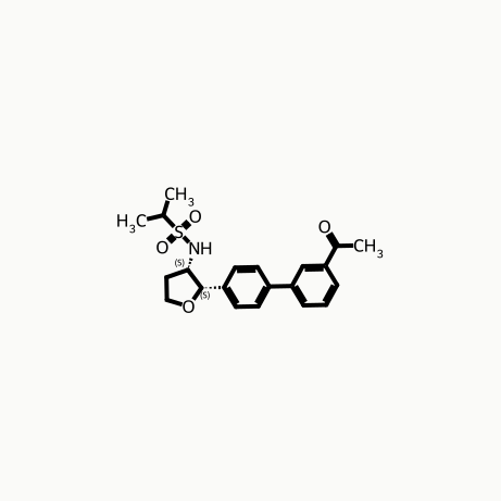 CC(=O)c1cccc(-c2ccc([C@@H]3OCC[C@@H]3NS(=O)(=O)C(C)C)cc2)c1